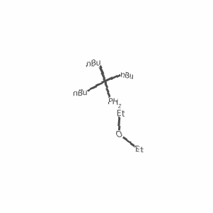 CCCCC(P)(CCCC)CCCC.CCOCC